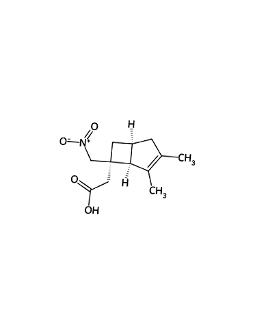 CC1=C(C)[C@@H]2[C@H](C1)C[C@]2(CC(=O)O)C[N+](=O)[O-]